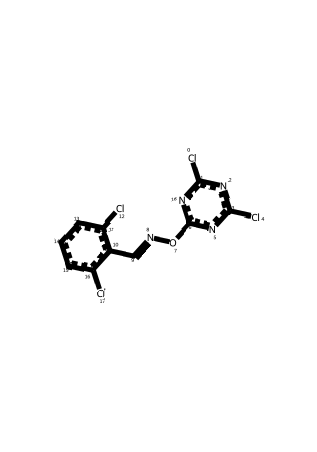 Clc1nc(Cl)nc(ON=Cc2c(Cl)cccc2Cl)n1